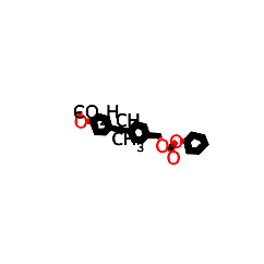 CC(C)(c1ccc(COC(=O)Oc2ccccc2)cc1)c1ccc(OC(=O)O)cc1